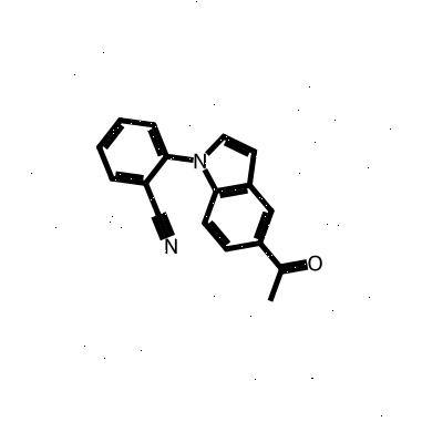 CC(=O)c1ccc2c(ccn2-c2ccccc2C#N)c1